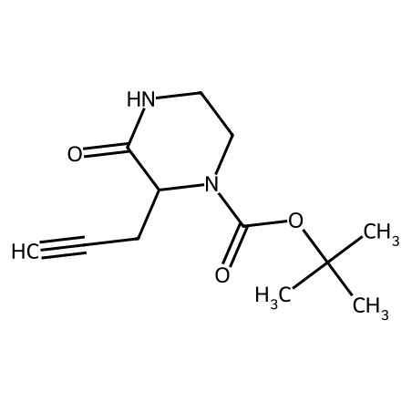 C#CCC1C(=O)NCCN1C(=O)OC(C)(C)C